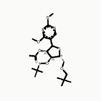 COc1ncc(C2S[C@H](COCC(C)(C)C)[C@@H](OSC(C)(C)C)[C@H]2OC(C)=O)c(OC)n1